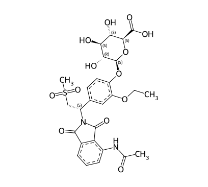 CCOc1cc([C@@H](CS(C)(=O)=O)N2C(=O)c3cccc(NC(C)=O)c3C2=O)ccc1O[C@@H]1O[C@H](C(=O)O)[C@@H](O)[C@H](O)[C@H]1O